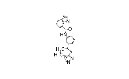 CC(Sc1nncn1C)c1cccc(NC(=O)c2cccc3scnc23)c1